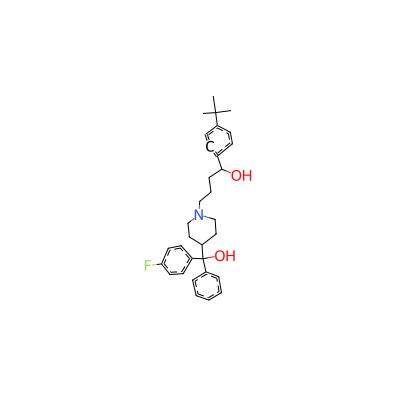 CC(C)(C)c1ccc(C(O)CCCN2CCC(C(O)(c3ccccc3)c3ccc(F)cc3)CC2)cc1